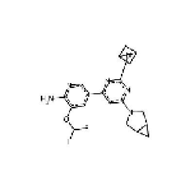 Nc1ncc(-c2cc(N3CC4CC4C3)nc(N3CC4CC3C4)n2)cc1OC(F)F